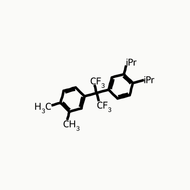 Cc1ccc(C(c2ccc(C(C)C)c(C(C)C)c2)(C(F)(F)F)C(F)(F)F)cc1C